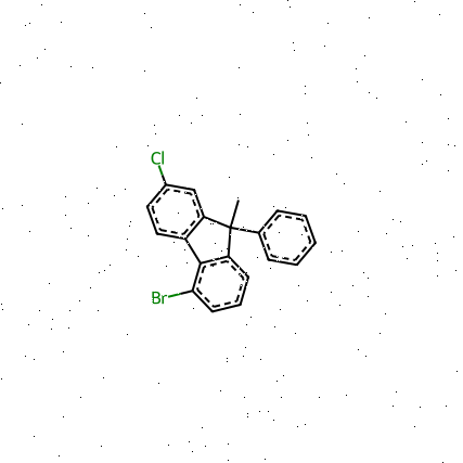 CC1(c2ccccc2)c2cc(Cl)ccc2-c2c(Br)cccc21